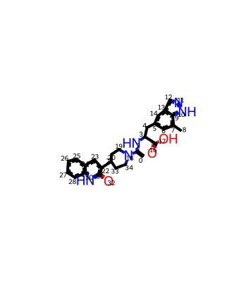 C=C(NC(Cc1cc(C)c2[nH]ncc2c1)C(=O)O)N1CCC(c2cc3ccccc3[nH]c2=O)CC1